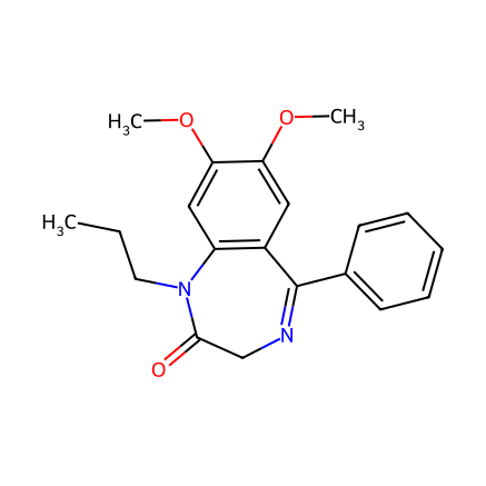 CCCN1C(=O)CN=C(c2ccccc2)c2cc(OC)c(OC)cc21